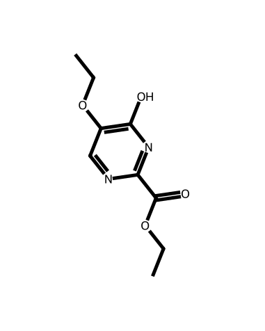 CCOC(=O)c1ncc(OCC)c(O)n1